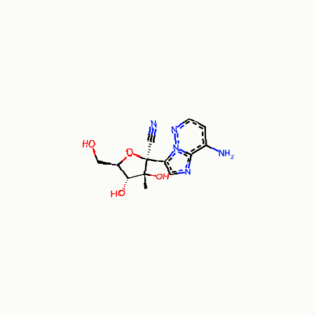 C[C@@]1(O)[C@H](O)[C@@H](CO)O[C@@]1(C#N)c1cnc2c(N)ccnn12